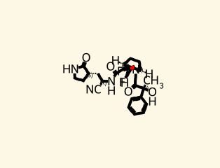 C[C@](O)(C(=O)N1[C@@H]2CC[C@H]([C@H]1C(=O)N[C@@H](C#N)C[C@@H]1CCNC1=O)C(F)(F)C2)c1ccccc1